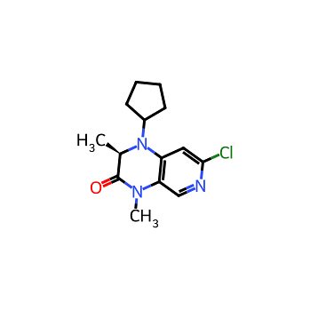 C[C@@H]1C(=O)N(C)c2cnc(Cl)cc2N1C1CCCC1